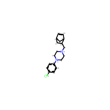 Clc1ccc(N2CCN(CC3CC4C=CC3C4)CC2)cc1